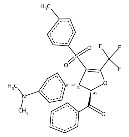 Cc1ccc(S(=O)(=O)C2=C(C(F)(F)F)O[C@@H](C(=O)c3ccccc3)[C@@H]2c2ccc(N(C)C)cc2)cc1